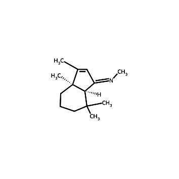 CN=C1C=C(C)[C@]2(C)CCCC(C)(C)[C@H]12